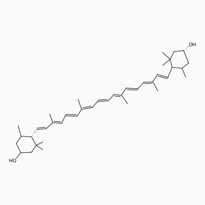 CC(/C=C/C=C(C)/C=C/C1C(C)C[C@@H](O)CC1(C)C)=C\C=C\C=C(C)\C=C\C=C(C)\C=C\[C@H]1C(C)CC(O)CC1(C)C